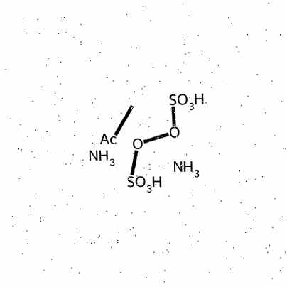 CC(C)=O.N.N.O=S(=O)(O)OOS(=O)(=O)O